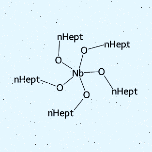 CCCCCCC[O][Nb]([O]CCCCCCC)([O]CCCCCCC)([O]CCCCCCC)[O]CCCCCCC